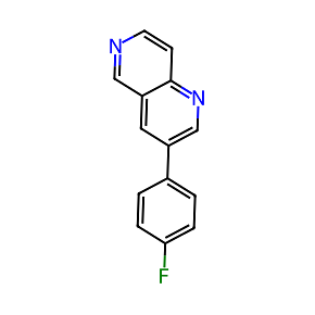 Fc1ccc(-c2cnc3ccncc3c2)cc1